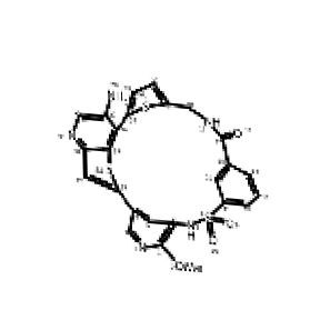 COc1ncc2cc1NS(=O)(=O)c1cccc(c1)C(=O)NCc1ccc(s1)-c1c(N)cnc3cc-2sc13